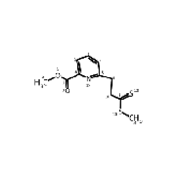 COC(=O)c1cccc(CCC(=S)SC)n1